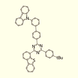 CC(C)(C)c1ccc(-c2nc(-c3ccc(-c4cccc(-n5c6ccccc6c6ccccc65)c4)cc3)nc(-c3cccc4c3sc3ccccc34)n2)cc1